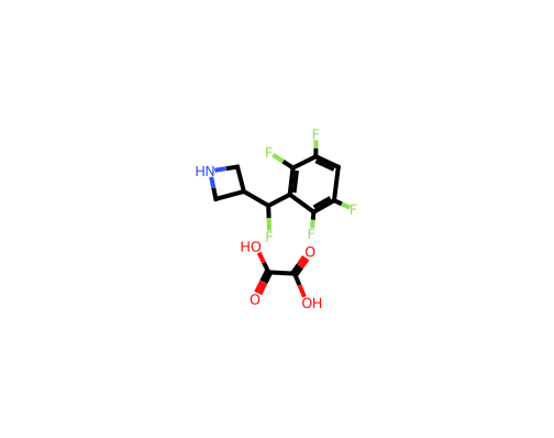 Fc1cc(F)c(F)c(C(F)C2CNC2)c1F.O=C(O)C(=O)O